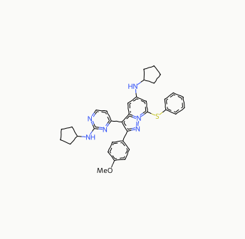 COc1ccc(-c2nn3c(Sc4ccccc4)cc(NC4CCCC4)cc3c2-c2ccnc(NC3CCCC3)n2)cc1